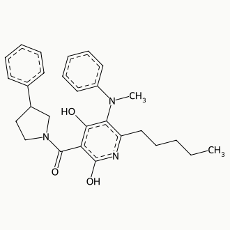 CCCCCc1nc(O)c(C(=O)N2CCC(c3ccccc3)C2)c(O)c1N(C)c1ccccc1